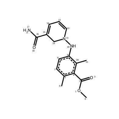 COC(=O)c1c(C)ccc(NN2C=CC=C(C(N)=O)C2)c1C